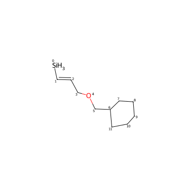 [SiH3]C=CCOCC1CCCCC1